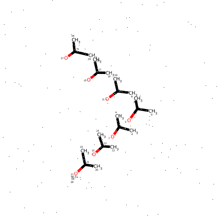 CC(C)[O-].CC(C)[O-].CC(C)[O-].CC(C)[O-].CC(C)[O-].CC(C)[O-].CC(C)[O-].[Ti+7]